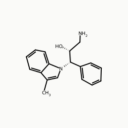 Cc1cn([C@@H](c2ccccc2)[C@H](O)CN)c2ccccc12